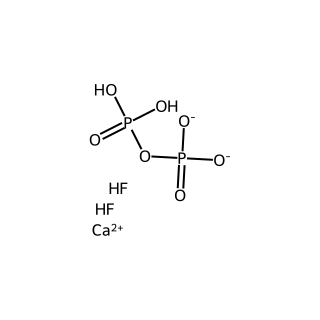 F.F.O=P([O-])([O-])OP(=O)(O)O.[Ca+2]